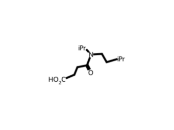 CC(C)CCN(C(=O)CCC(=O)O)C(C)C